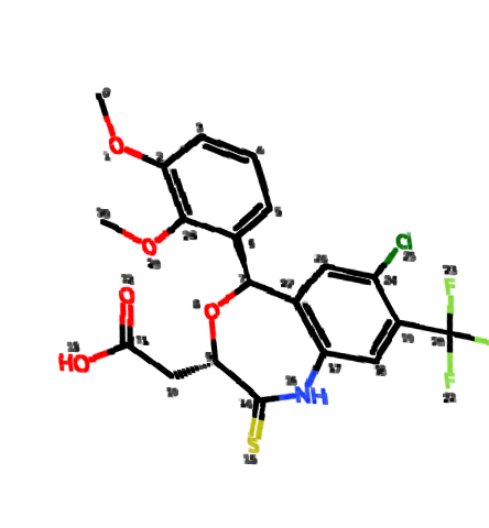 COc1cccc([C@@H]2O[C@@H](CC(=O)O)C(=S)Nc3cc(C(F)(F)F)c(Cl)cc32)c1OC